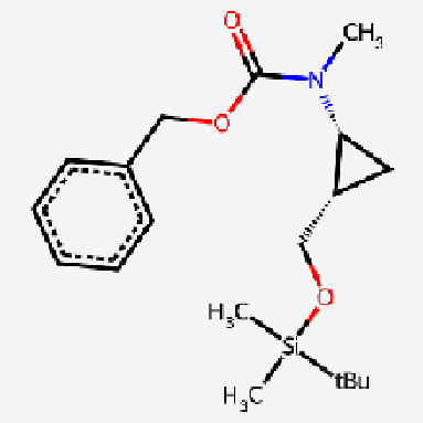 CN(C(=O)OCc1ccccc1)[C@@H]1C[C@@H]1CO[Si](C)(C)C(C)(C)C